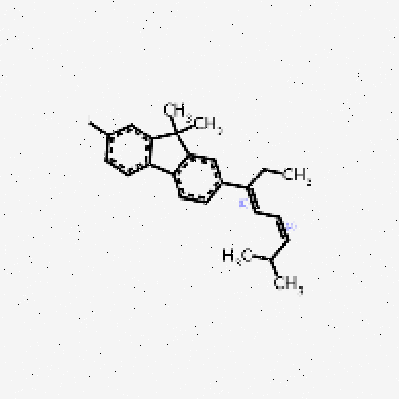 CC/C(=C\C=C/C(C)C)c1ccc2c(c1)C(C)(C)c1cc(I)ccc1-2